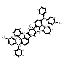 Cc1ccc(N(c2ccccc2)c2ccc3c4c2C2C=CC=CC2N4C2=Cc4c(n5c6ccccc6c6c(N(c7ccccc7)c7ccc(C)cc7)ccc4c65)CC23C)cc1